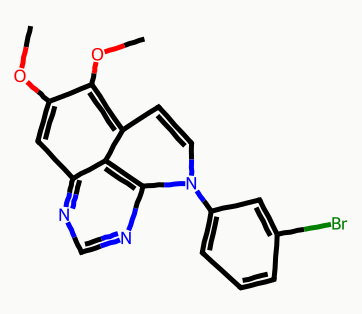 COc1cc2ncnc3c2c(c1OC)C=CN3c1cccc(Br)c1